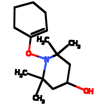 CC1(C)CC(O)CC(C)(C)N1OC1=CCCCC1